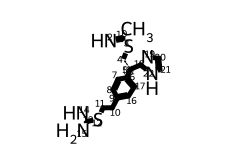 CC(=N)SC[C@@H](c1ccc(CCSC(=N)N)cc1)c1ncc[nH]1